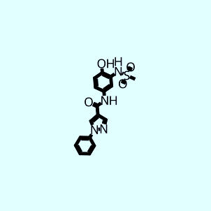 CS(=O)(=O)Nc1cc(NC(=O)c2cnn(-c3ccccc3)c2)ccc1O